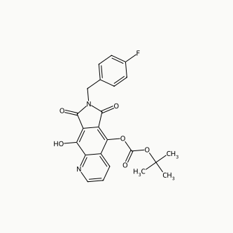 CC(C)(C)OC(=O)Oc1c2c(c(O)c3ncccc13)C(=O)N(Cc1ccc(F)cc1)C2=O